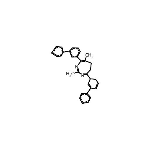 CC1=N/C(c2cccc(-c3ccccc3)c2)=C(/C)CC/C(C2C=C(c3ccccc3)C=CC2)=N\1